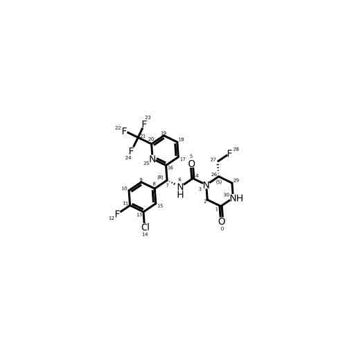 O=C1CN(C(=O)N[C@H](c2ccc(F)c(Cl)c2)c2cccc(C(F)(F)F)n2)[C@H](CF)CN1